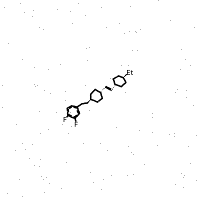 CC[C@H]1CC[C@H](/C=C/[C@H]2CC[C@H](CCc3ccc(F)c(F)c3)CC2)CC1